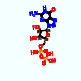 Nc1nc2c(nnn2[C@@H]2O[C@H](COP(=O)(O)OP(=O)(O)O)[C@@H](O)[C@H]2O)c(=O)[nH]1